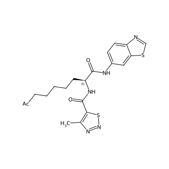 CC(=O)CCCCC[C@H](NC(=O)c1snnc1C)C(=O)Nc1ccc2ncsc2c1